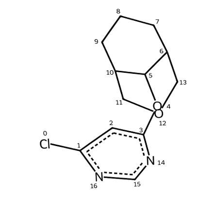 Clc1cc(OC2C3CCCC2COC3)ncn1